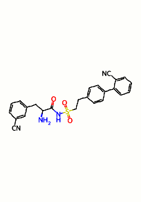 N#Cc1cccc(C[C@H](N)C(=O)NS(=O)(=O)CCc2ccc(-c3ccccc3C#N)cc2)c1